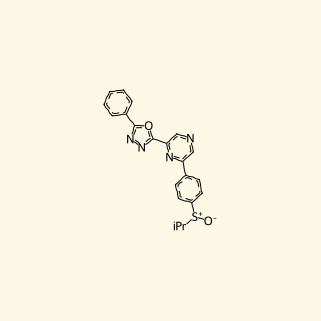 CC(C)[S+]([O-])c1ccc(-c2cncc(-c3nnc(-c4ccccc4)o3)n2)cc1